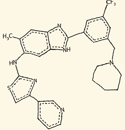 Cc1cc2nc(-c3cc(CN4CCCCC4)cc(C(F)(F)F)c3)[nH]c2cc1Nc1nc(-c2cccnc2)cs1